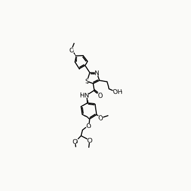 COc1ccc(-c2nc(CCO)c(C(=O)Nc3ccc(OCC(OC)OC)c(OC)c3)s2)cc1